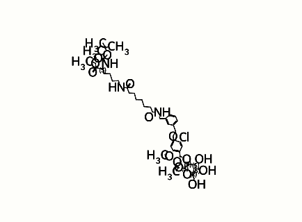 COC(=O)[C@H](CCCCNC(=O)CCCCCCC(=O)NCc1cccc(COc2cc(OC)c(C(=O)O[C@H]3[C@@H](OC)O[C@H](CO)[C@@H](O)[C@@H]3O)cc2Cl)c1)NC(=O)OC(C)(C)C